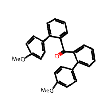 COc1ccc(-c2ccccc2C(=O)c2ccccc2-c2ccc(OC)cc2)cc1